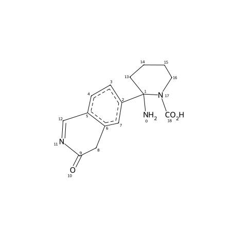 NC1(c2ccc3c(c2)CC(=O)N=C3)CCCCN1C(=O)O